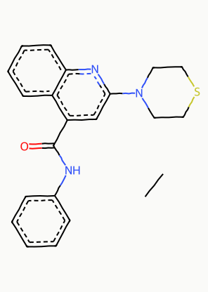 CC.O=C(Nc1ccccc1)c1cc(N2CCSCC2)nc2ccccc12